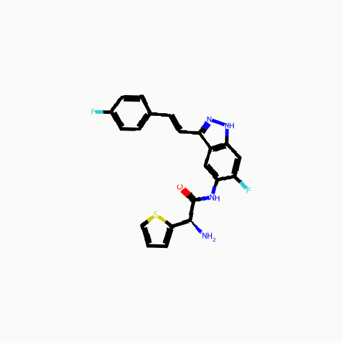 N[C@H](C(=O)Nc1cc2c(C=Cc3ccc(F)cc3)n[nH]c2cc1F)c1cccs1